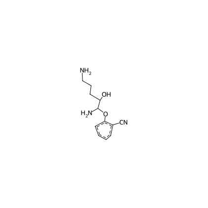 N#Cc1ccccc1OC(N)C(O)CCCN